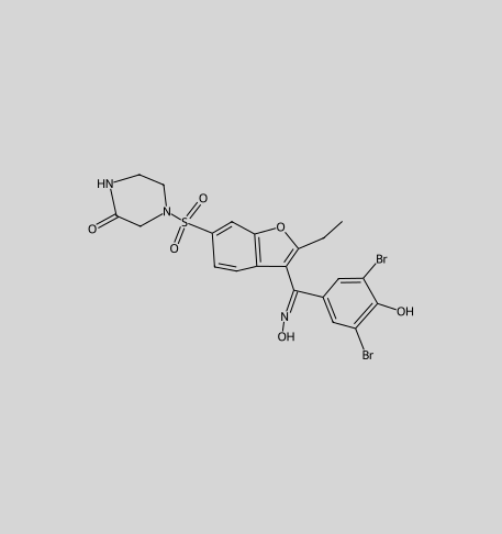 CCc1oc2cc(S(=O)(=O)N3CCNC(=O)C3)ccc2c1C(=NO)c1cc(Br)c(O)c(Br)c1